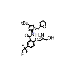 CC(C)(C)c1cn(C[C@H]2CCCO2)/c(=N/C(=O)c2cc(C(F)(F)CF)ccc2OC[C@H](N)CO)s1